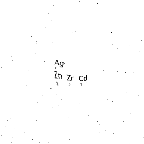 [Ag].[Cd].[Zn].[Zr]